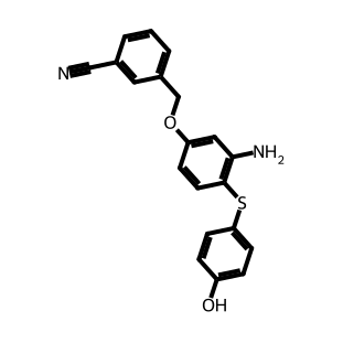 N#Cc1cccc(COc2ccc(Sc3ccc(O)cc3)c(N)c2)c1